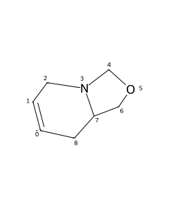 [C]1=CCN2COCC2C1